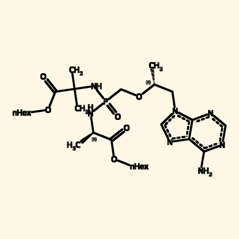 CCCCCCOC(=O)[C@@H](C)NP(=O)(CO[C@H](C)Cn1cnc2c(N)ncnc21)NC(C)(C)C(=O)OCCCCCC